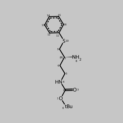 CC(C)(C)OC(=O)NCC[C@@H](N)CSc1ccccc1